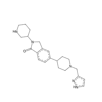 O=C1c2ccc(C3CCN(Cc4cc[nH]n4)CC3)cc2CN1C1CCCNC1